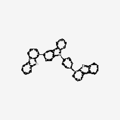 c1ccc2c(c1)oc1c(-c3ccc(-n4c5ccccc5c5cc(-c6cccc7c6oc6ccccc67)ccc54)cc3)cccc12